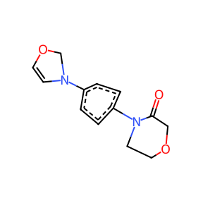 O=C1COCCN1c1ccc(N2C=COC2)cc1